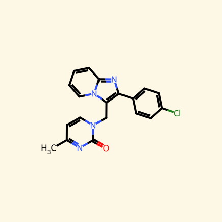 Cc1ccn(Cc2c(-c3ccc(Cl)cc3)nc3ccccn23)c(=O)n1